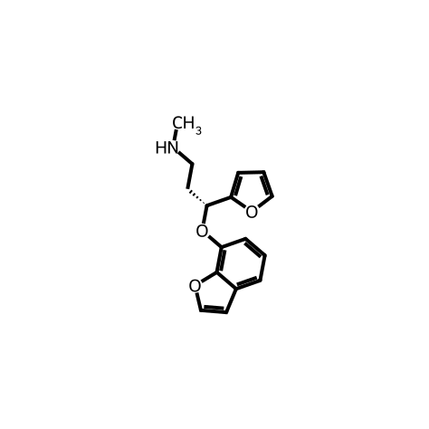 CNCC[C@@H](Oc1cccc2ccoc12)c1ccco1